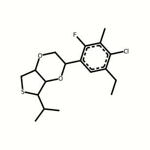 CCc1cc(C2COC3CSC(C(C)C)C3O2)c(F)c(C)c1Cl